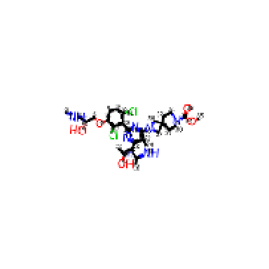 CNC[C@@H](O)COc1ccc(Cl)c(-c2nc(/C(C(C)=N)=C(\C)O)c(C)c(N3CC4(CCN(C(=O)OC)CC4)C3)n2)c1Cl